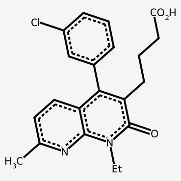 CCn1c(=O)c(CCCC(=O)O)c(-c2cccc(Cl)c2)c2ccc(C)nc21